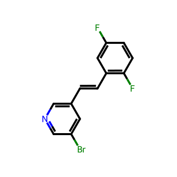 Fc1ccc(F)c(C=Cc2cncc(Br)c2)c1